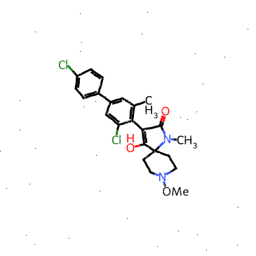 CON1CCC2(CC1)C(O)=C(c1c(C)cc(-c3ccc(Cl)cc3)cc1Cl)C(=O)N2C